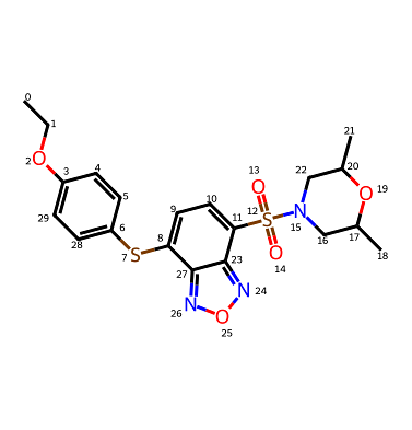 CCOc1ccc(Sc2ccc(S(=O)(=O)N3CC(C)OC(C)C3)c3nonc23)cc1